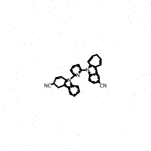 N#Cc1ccc2c(c1)c1c(n2-c2cccc(-n3c4c(c5ccccc53)CC(C#N)C=C4)n2)C=CCC=C1